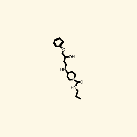 CCCNC(=O)N1CCC(NCCC(O)COc2ccccc2)CC1